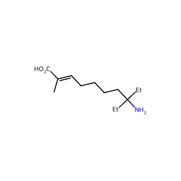 CCC(N)(CC)CCCCC=C(C)C(=O)O